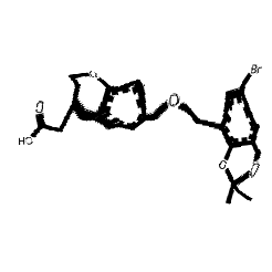 CC1(C)Oc2cc(Br)cc(COc3ccc4c(c3)OCC4CC(=O)O)c2O1